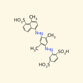 Cc1cc(N=Nc2ccc(C)c3c(S(=O)(=O)O)cccc23)c(C)cc1N=Nc1cc(S(=O)(=O)O)ccc1S(=O)(=O)O